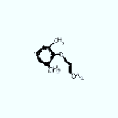 C=CCOc1c(C)c[c]cc1C